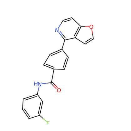 O=C(Nc1cccc(F)c1)c1ccc(-c2nccc3occc23)cc1